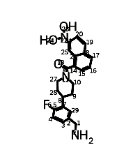 NCc1ccc(F)c(C2CCN(C(=O)c3cccc4ccc(N(O)O)cc34)CC2)c1